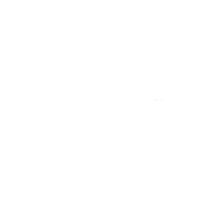 CCc1ccc(OC(C)C(=O)OC)c(C=O)c1